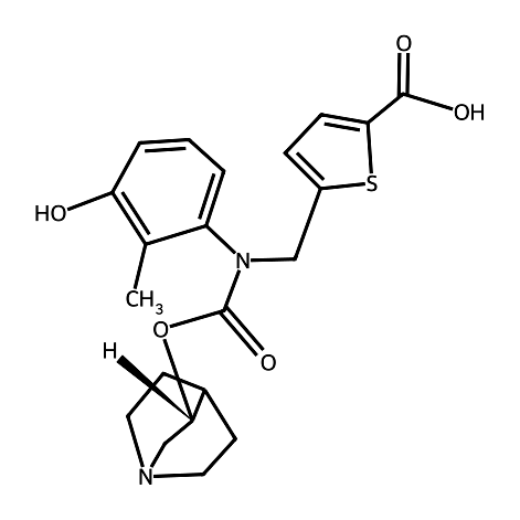 Cc1c(O)cccc1N(Cc1ccc(C(=O)O)s1)C(=O)O[C@H]1CN2CCC1CC2